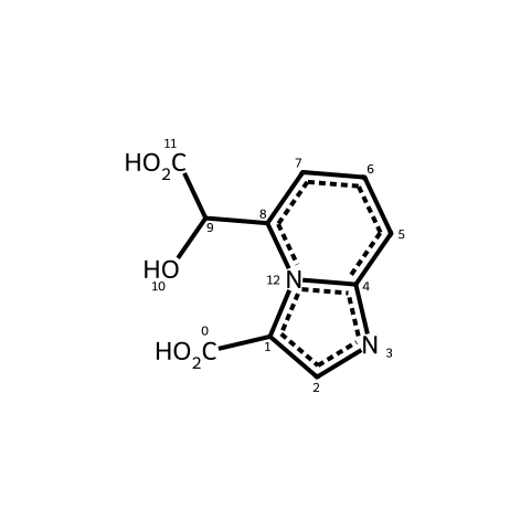 O=C(O)c1cnc2cccc(C(O)C(=O)O)n12